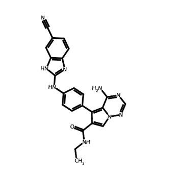 CCNC(=O)c1cn2ncnc(N)c2c1-c1ccc(Nc2nc3ccc(C#N)cc3[nH]2)cc1